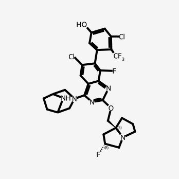 Oc1cc(Cl)c(C(F)(F)F)c(-c2c(Cl)cc3c(N4CC5CCC(C4)N5)nc(OC[C@@]45CCCN4C[C@H](F)C5)nc3c2F)c1